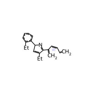 C=C/C=C\C(=C)C1=NC(c2ccccc2CC)C=C1CC